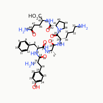 C[C@H](NC(=O)[C@H](Cc1ccccc1)NC(=O)[C@@H](N)Cc1ccc(O)cc1)C(=O)N[C@@H](CCCCN)C(=O)N1CCC[C@H]1C(=O)N[C@@H](CCC(N)=O)C(=O)O